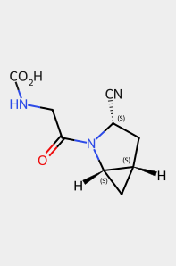 N#C[C@@H]1C[C@@H]2C[C@@H]2N1C(=O)CNC(=O)O